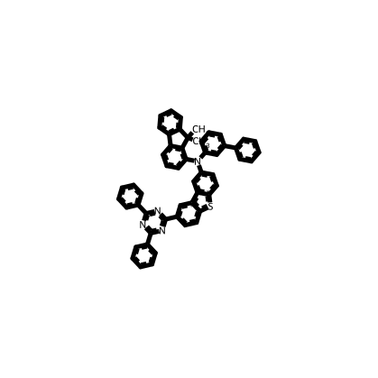 CC1(C)c2ccccc2-c2cccc(N(c3cccc(-c4ccccc4)c3)c3ccc4sc5ccc(-c6nc(-c7ccccc7)nc(-c7ccccc7)n6)cc5c4c3)c21